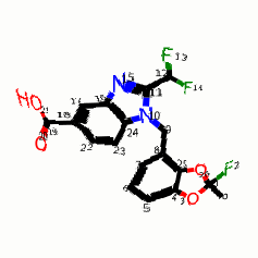 CC1(F)Oc2cccc(Cn3c(C(F)F)nc4cc(C(=O)O)ccc43)c2O1